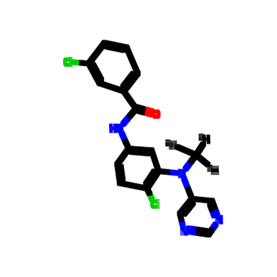 [2H]C([2H])([2H])N(c1cncnc1)c1cc(NC(=O)c2cccc(Cl)c2)ccc1Cl